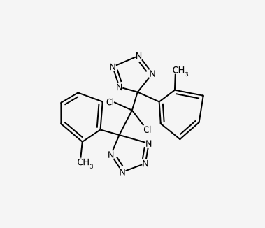 Cc1ccccc1C1(C(Cl)(Cl)C2(c3ccccc3C)N=NN=N2)N=NN=N1